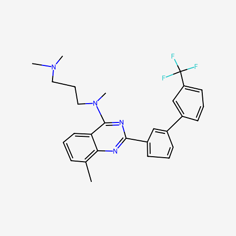 Cc1cccc2c(N(C)CCCN(C)C)nc(-c3cccc(-c4cccc(C(F)(F)F)c4)c3)nc12